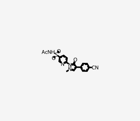 CC(=O)NS(=O)(=O)c1ccc(-n2c(=O)c(-c3ccc(C#N)cc3)cn2C)nc1